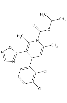 CC1=CC(c2cccc(Cl)c2Cl)C(c2ncno2)=C(C)N1C(=O)OC(C)C